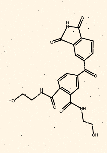 O=C(c1ccc(C(=O)NCCO)c(C(=O)NCCO)c1)c1ccc2c(c1)C(=O)NC2=O